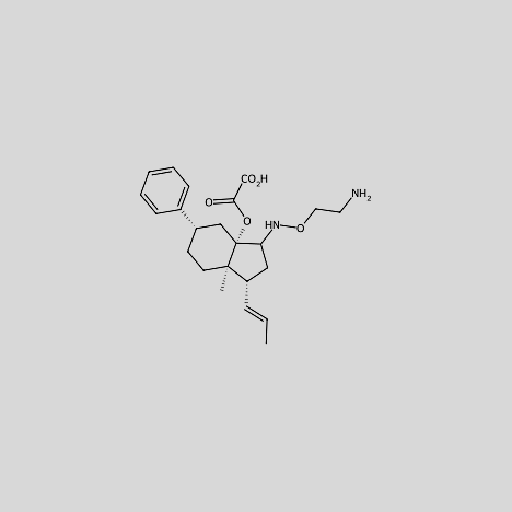 C/C=C/[C@H]1CC(NOCCN)[C@]2(OC(=O)C(=O)O)C[C@@H](c3ccccc3)CC[C@]12C